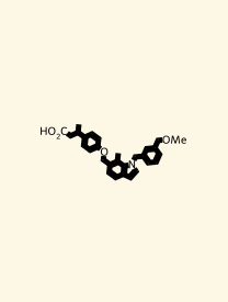 COCc1cccc(Cn2ccc3ccc(COc4ccc(C(C)CC(=O)O)cc4)c(C)c32)c1